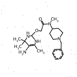 CC1=C(N)C(C)(C)NC(OCC(=O)N(C)C2CCN(Cc3ccccc3)CC2)N1